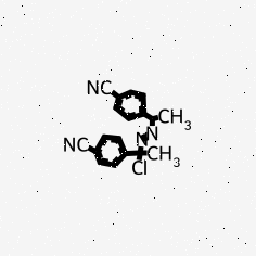 CC(N=NC(C)(Cl)c1ccc(C#N)cc1)c1ccc(C#N)cc1